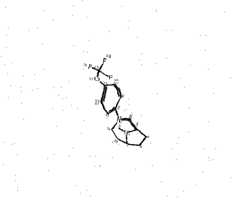 CN1C2CCC1CN(c1ccc(OC(F)(F)F)cc1)CC2